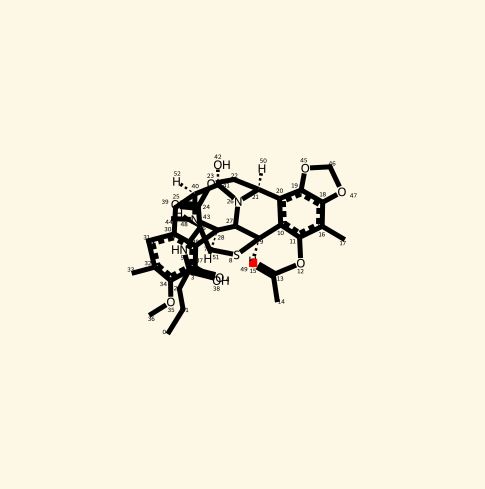 CCCC(=O)N[C@H]1CS[C@@H]2c3c(OC(C)=O)c(C)c4c(c3[C@H](COC1=O)N1C2[C@H]2c3c(cc(C)c(OC)c3O)C[C@@H]([C@@H]1O)N2C)OCO4